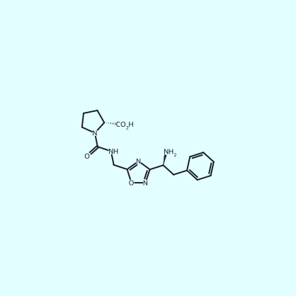 N[C@@H](Cc1ccccc1)c1noc(CNC(=O)N2CCC[C@@H]2C(=O)O)n1